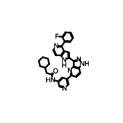 O=C(CC1CCCCC1)Nc1cncc(-c2ccc3[nH]nc(-c4cc5c(-c6ccccc6F)nccc5[nH]4)c3n2)c1